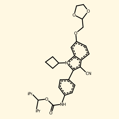 CC(C)C(OC(=O)Nc1ccc(-c2c(C#N)c3ccc(OCC4OCCO4)cc3n2C2CCC2)cc1)C(C)C